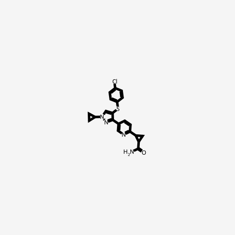 NC(=O)C1CC1c1ccc(-c2nn(C3CC3)cc2Sc2ccc(Cl)cc2)cn1